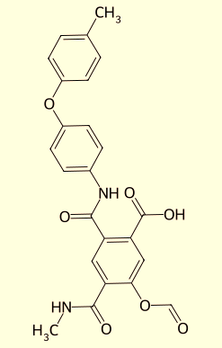 CNC(=O)c1cc(C(=O)Nc2ccc(Oc3ccc(C)cc3)cc2)c(C(=O)O)cc1OC=O